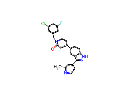 Cc1cc(-c2n[nH]c3ccc(-c4ccn(Cc5cc(F)cc(Cl)c5)c(=O)c4)cc23)ccn1